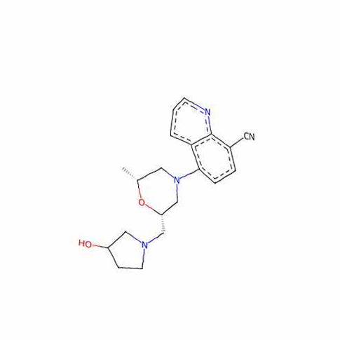 C[C@@H]1CN(c2ccc(C#N)c3ncccc23)C[C@H](CN2CCC(O)C2)O1